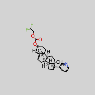 C[C@]12CC[C@H](OC(=O)OCC(F)F)CC1=CC[C@@H]1[C@@H]2CC[C@]2(C)C(c3cccnc3)=CC[C@@H]12